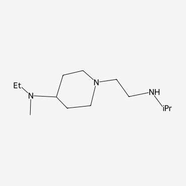 CCN(C)C1CCN(CCNC(C)C)CC1